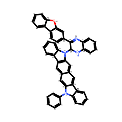 c1ccc(-n2c3ccccc3c3cc4cc5c(cc4cc32)c2ccccc2n5C2Nc3ccccc3N=C2c2ccc3c(c2)oc2ccccc23)cc1